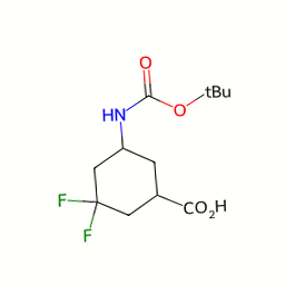 CC(C)(C)OC(=O)NC1CC(C(=O)O)CC(F)(F)C1